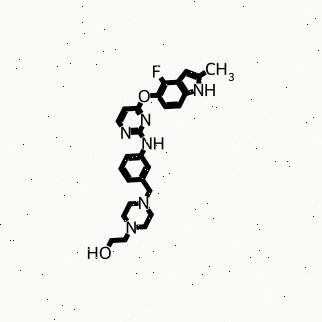 Cc1cc2c(F)c(Oc3ccnc(Nc4cccc(CN5CCN(CCO)CC5)c4)n3)ccc2[nH]1